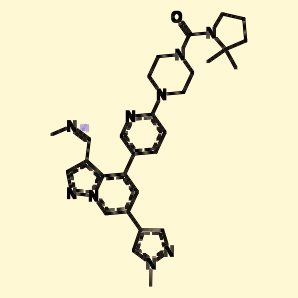 C/N=C\c1cnn2cc(-c3cnn(C)c3)cc(-c3ccc(N4CCN(C(=O)N5CCCC5(C)C)CC4)nc3)c12